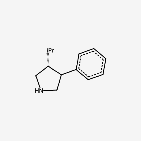 CC(C)[C@H]1CNCC1c1ccccc1